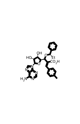 CC[C@H](OC(C(=Cc1ccc(C)cc1)C(=O)O)[C@H]1O[C@@H](n2cnc3c(N)ncnc32)[C@H](O)[C@@H]1O)c1ccccc1